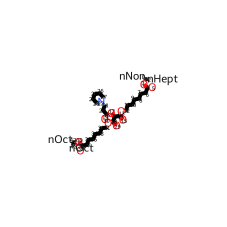 CCCCCCCCCC(CCCCCCC)OC(=O)CCCCCCCOC(=O)C(OC(=O)CCN1CCCCC1)C(=O)OCCCCCCCC(=O)OC(CCCCCCCC)CCCCCCCC